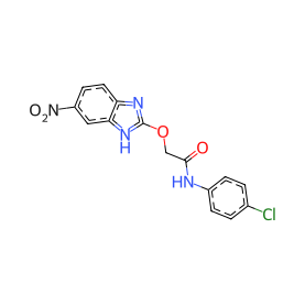 O=C(COc1nc2ccc([N+](=O)[O-])cc2[nH]1)Nc1ccc(Cl)cc1